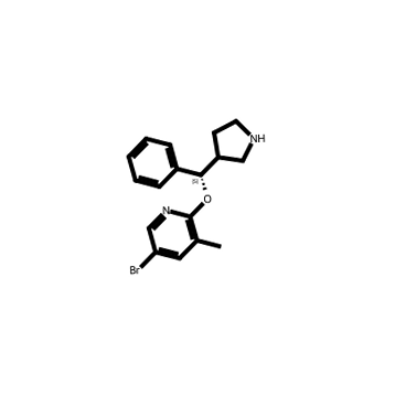 Cc1cc(Br)cnc1O[C@H](c1ccccc1)C1CCNC1